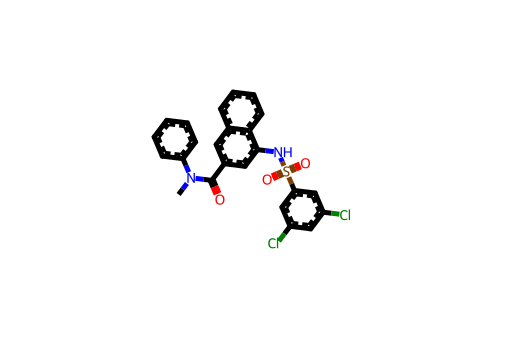 CN(C(=O)c1cc(NS(=O)(=O)c2cc(Cl)cc(Cl)c2)c2ccccc2c1)c1ccccc1